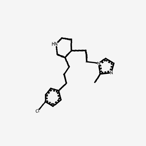 Cc1nccn1CCC1CCNCC1CCCc1ccc(Cl)cc1